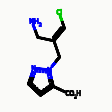 NC/C(=C\Cl)Cn1nccc1C(=O)O